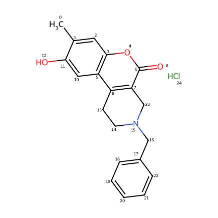 Cc1cc2oc(=O)c3c(c2cc1O)CCN(Cc1ccccc1)C3.Cl